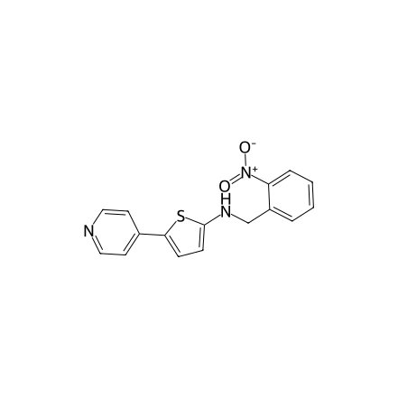 O=[N+]([O-])c1ccccc1CNc1ccc(-c2ccncc2)s1